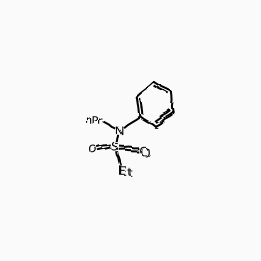 CCCN(c1ccccc1)S(=O)(=O)CC